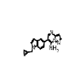 Nc1c(-c2ccc3c(ccn3CC3CC3)c2)cnc2ccnn12